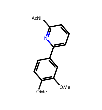 COc1ccc(-c2cccc(NC(C)=O)n2)cc1OC